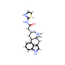 CN1C[C@H](CC(=O)Nc2nccs2)CC2c3cccc4[nH]cc(c34)C[C@H]21